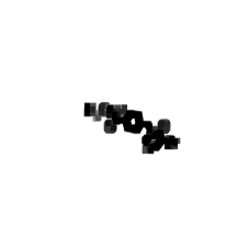 CNC(=O)c1ccc(Cn2cncc(Br)c2=O)cc1